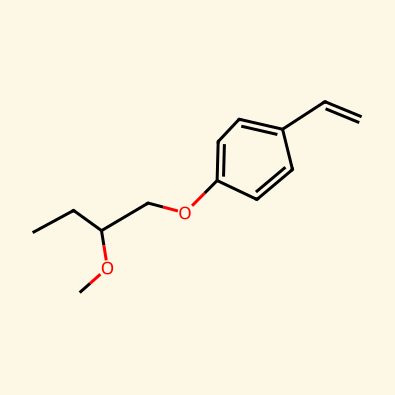 C=Cc1ccc(OCC(CC)OC)cc1